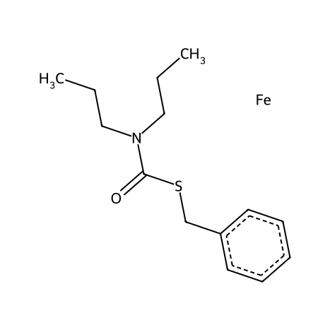 CCCN(CCC)C(=O)SCc1ccccc1.[Fe]